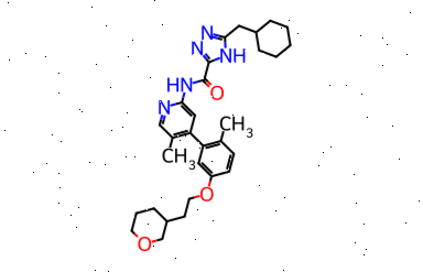 Cc1ccc(OCCC2CCCOC2)cc1-c1cc(NC(=O)c2nnc(CC3CCCCC3)[nH]2)ncc1C